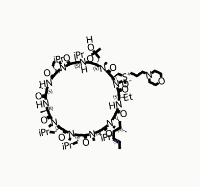 C/C=C/C[C@@H](C)C[C@H]1C(=O)N[C@@H](CC)C(=O)N(C)[C@H](C[S+]([O-])CCCN2CCOCC2)C(=O)N(C)[C@@H](CC(C)(C)O)C(=O)N[C@@H](C(C)C)C(=O)N(C)[C@@H](CC(C)C)C(=O)N[C@@H](C)C(=O)N[C@H](C)C(=O)N(C)[C@@H](CC(C)C)C(=O)N(C)[C@@H](CC(C)C)C(=O)N(C)[C@@H](C(C)C)C(=O)N1C